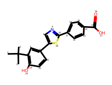 CC(C)(C)c1cc(-c2cnc(-c3ccc(C(=O)O)cc3)s2)ccc1O